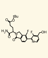 CC(C)(C)OC(=O)CCC(C(N)=O)N1Cc2c(ccc(-c3nccc(CO)c3F)c2F)C1=O